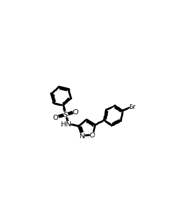 O=S(=O)(Nc1cc(-c2ccc(Br)cc2)on1)c1ccccc1